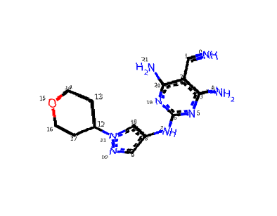 N=Cc1c(N)nc(Nc2cnn(C3CCOCC3)c2)nc1N